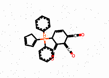 O=C=C1C=CC([PH](C2=CC=CC2)(c2ccccc2)c2ccccc2)C(=C=O)C1=C=O